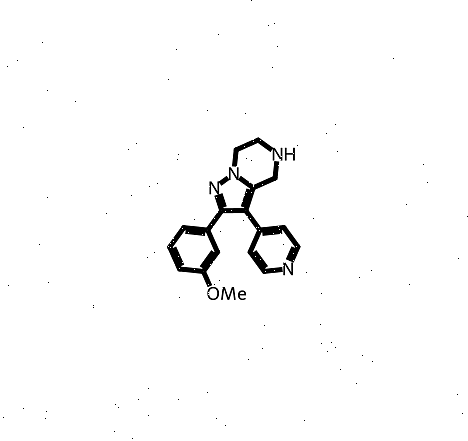 COc1cccc(-c2nn3c(c2-c2ccncc2)CNCC3)c1